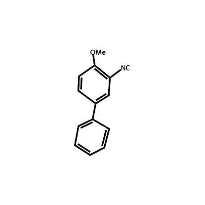 [C-]#[N+]c1cc(-c2ccccc2)ccc1OC